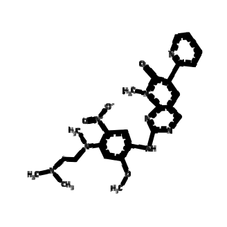 COc1cc(N(C)CCN(C)C)c([N+](=O)[O-])cc1Nc1ncc2cc(-c3ccccn3)c(=O)n(C)c2n1